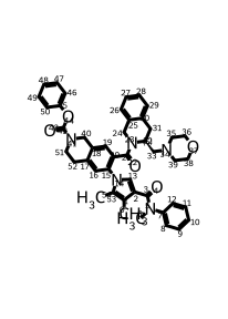 Cc1c(C(=O)N(C)c2ccccc2)cn(-c2cc3c(cc2C(=O)N2Cc4ccccc4C[C@H]2CN2CCOCC2)CN(C(=O)Oc2ccccc2)CC3)c1C